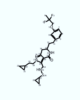 CC(F)(F)COc1cccc(CCC2Cc3nn(CCC4CC4)c(CNSC4CC4)c3C(=O)N2)c1